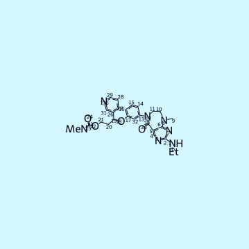 CCNc1ncc2c(n1)N(C)CCN(c1cccc(OC(CCOC(=O)NC)c3cccnc3)c1)C2=O